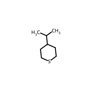 CC(C)[C]1CCSCC1